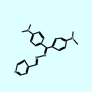 CN(C)c1ccc(C(=NN=Cc2ccncc2)c2ccc(N(C)C)cc2)cc1